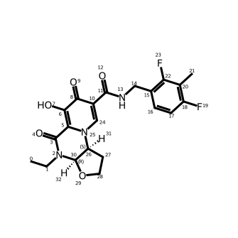 CCN1C(=O)c2c(O)c(=O)c(C(=O)NCc3ccc(F)c(C)c3F)cn2[C@H]2CCO[C@H]21